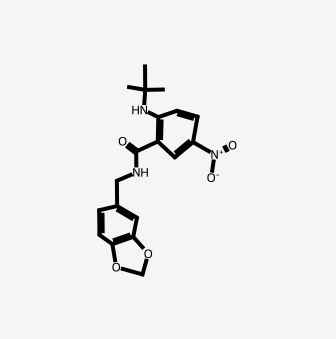 CC(C)(C)Nc1ccc([N+](=O)[O-])cc1C(=O)NCc1ccc2c(c1)OCO2